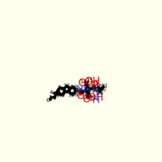 CCCC1(C)c2cc3c(cc21)-c1ccc(NC(=O)C2C(C(=O)O)C(C(=O)NC(C)(C)CC)C2C(=O)O)cc1C3